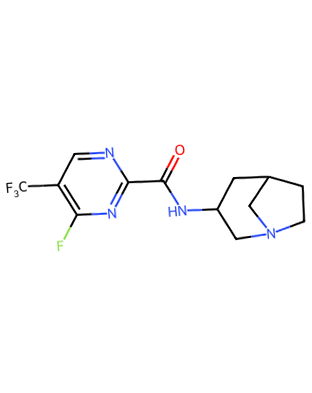 O=C(NC1CC2CCN(C2)C1)c1ncc(C(F)(F)F)c(F)n1